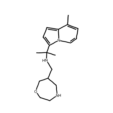 Cc1cccn2c(C(C)(C)NCC3CNCCOC3)ccc12